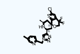 Cc1ccc(Cn2cc([C@@H]3C[C@]4(C[C@H](C)N3)OCC(F)(F)c3cc(Cl)sc34)nn2)nc1